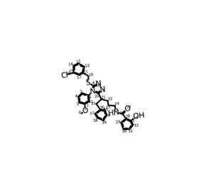 COc1cccc(-n2c(SCc3cccc(Cl)c3)nnc2C(CCCNC(=O)c2ccccc2O)Cc2ccccc2)c1